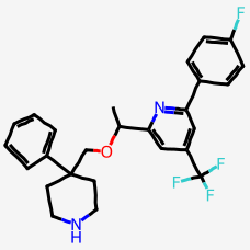 CC(OCC1(c2ccccc2)CCNCC1)c1cc(C(F)(F)F)cc(-c2ccc(F)cc2)n1